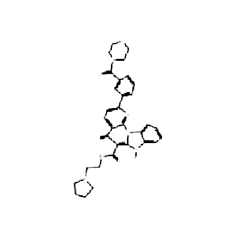 Cn1c2ccccc2n2c3nc(-c4cccc(C(=O)N5CCOCC5)c4)ccc3c(=O)c(C(=O)NCCN3CCCC3)c12